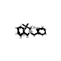 CC(C)(C)C(=O)N(Cc1ccccc1)Cc1ccccc1